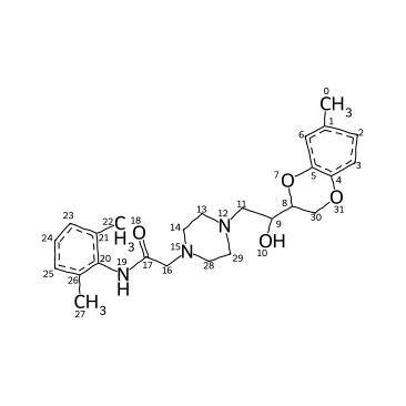 Cc1ccc2c(c1)OC(C(O)CN1CCN(CC(=O)Nc3c(C)cccc3C)CC1)CO2